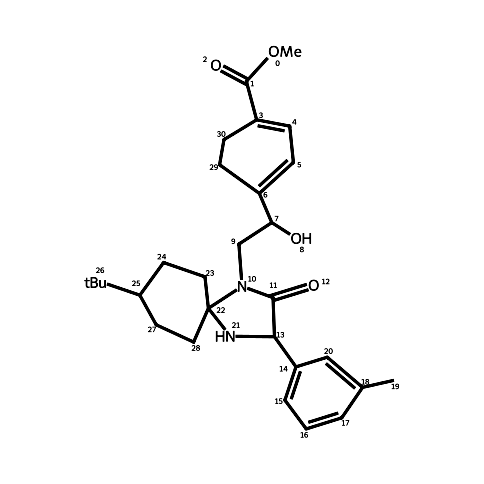 COC(=O)C1=CC=C(C(O)CN2C(=O)C(c3cccc(C)c3)NC23CCC(C(C)(C)C)CC3)CC1